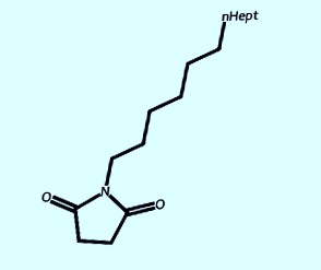 CCCCCCCCCCCCCN1C(=O)CCC1=O